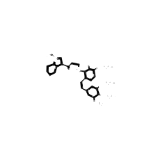 COc1ccc(/C=C\c2cc(OC)c(OC)c(OC)c2)c(N/C=C\C(=O)c2cn(C)c3ccccc23)c1O